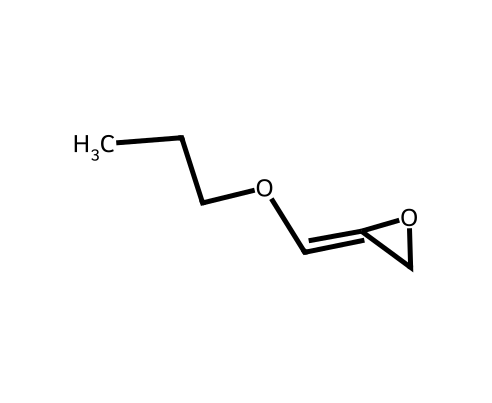 CCCOC=C1CO1